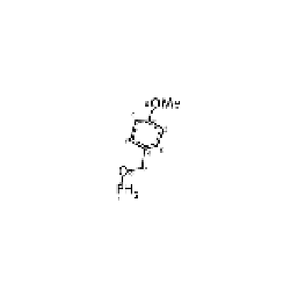 COc1ccc(COP)cc1